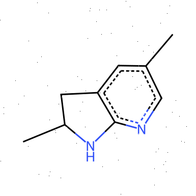 Cc1cnc2c(c1)CC(C)N2